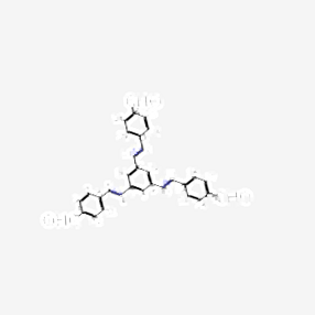 O=Cc1ccc(/C=C/c2cc(/C=C/c3ccc(C=O)cc3)cc(/C=C/c3ccc(C=O)cc3)c2)cc1